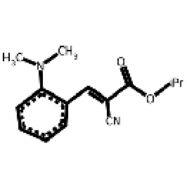 CC(C)OC(=O)/C(C#N)=C/c1ccccc1N(C)C